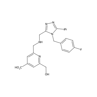 CC(C)c1nnc(CNCc2cc(C(=O)O)cc(CO)n2)n1Cc1ccc(F)cc1